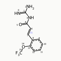 N=C(N)NC(=O)/C=C/c1ccccc1OC(F)(F)F